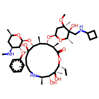 CC[C@H]1OC(=O)[C@H](C)[C@@H](O[C@H]2C[C@@](C)(OC)[C@](O)(CNC3CCC3)[C@H](C)O2)[C@H](C)[C@@H](O[C@@H]2O[C@H](C)C[C@H](NC)[C@H]2Oc2ccccc2)[C@](C)(O)C[C@@H](C)CN[C@H](C)[C@@H](O)[C@]1(C)O